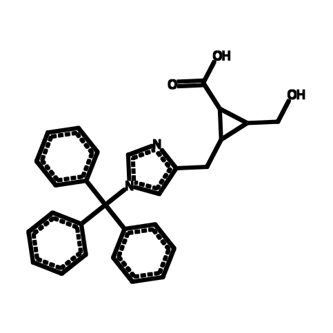 O=C(O)C1C(CO)C1Cc1cn(C(c2ccccc2)(c2ccccc2)c2ccccc2)cn1